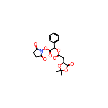 CC1(C)OC(=O)[C@H](CC(=O)OC(C(=O)ON2C(=O)CCC2=O)c2ccccc2)O1